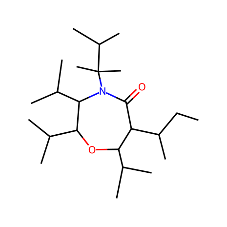 CCC(C)C1C(=O)N(C(C)(C)C(C)C)C(C(C)C)C(C(C)C)OC1C(C)C